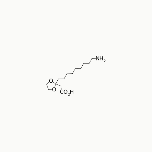 NCCCCCCCCCC1(CC(=O)O)OCCO1